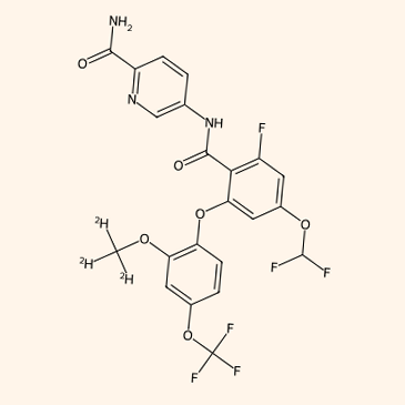 [2H]C([2H])([2H])Oc1cc(OC(F)(F)F)ccc1Oc1cc(OC(F)F)cc(F)c1C(=O)Nc1ccc(C(N)=O)nc1